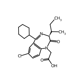 CCC(C)[C@@H]1N=C(C2CCCCC2)c2cc(Cl)ccc2N(CC(=O)O)C1=O